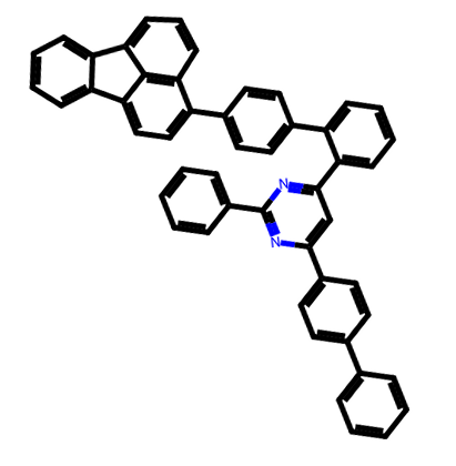 c1ccc(-c2ccc(-c3cc(-c4ccccc4-c4ccc(-c5ccc6c7c(cccc57)-c5ccccc5-6)cc4)nc(-c4ccccc4)n3)cc2)cc1